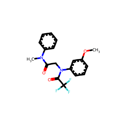 COc1cccc(N(CC(=O)N(C)c2ccccc2)C(=O)C(F)(F)F)c1